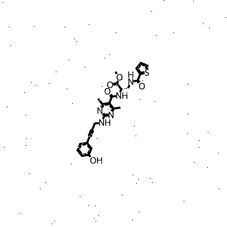 COC(=O)[C@H](CNC(=O)c1cccs1)NC(=O)c1c(C)nc(NCC#Cc2cccc(O)c2)nc1C